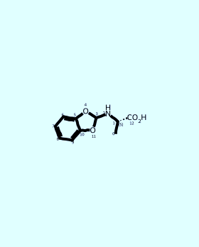 C[C@H](NC1Oc2ccccc2O1)C(=O)O